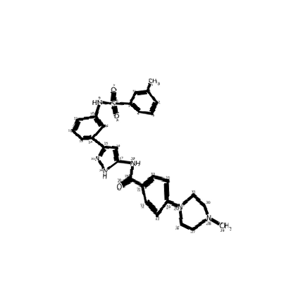 Cc1cccc(S(=O)(=O)Nc2cccc(-c3cc(NC(=O)c4ccc(N5CCN(C)CC5)cc4)[nH]n3)c2)c1